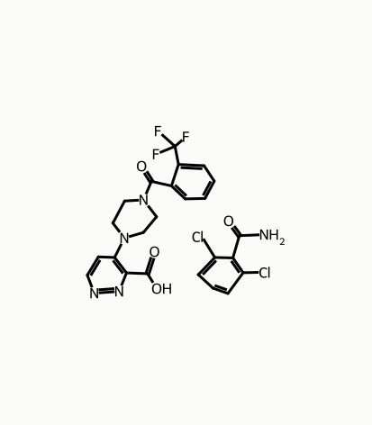 NC(=O)c1c(Cl)cccc1Cl.O=C(O)c1nnccc1N1CCN(C(=O)c2ccccc2C(F)(F)F)CC1